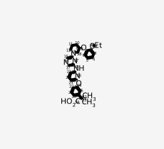 CCOc1ccccc1O[C@@H]1CCCN(c2cncc(Nc3cccc(Oc4cccc(C(C)(C)C(=O)O)c4)n3)n2)C1